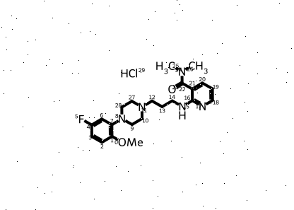 COc1ccc(F)cc1N1CCN(CCCNc2ncccc2C(=O)N(C)C)CC1.Cl